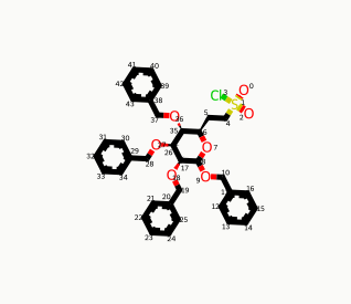 O=S(=O)(Cl)CC[C@H]1OC(OCc2ccccc2)[C@@H](OCc2ccccc2)[C@@H](OCc2ccccc2)[C@@H]1OCc1ccccc1